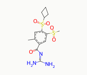 Cc1cc(S(=O)(=O)C2CCC2)c(S(C)(=O)=O)cc1C(=O)N=C(N)N